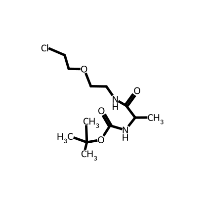 CC(NC(=O)OC(C)(C)C)C(=O)NCCOCCCl